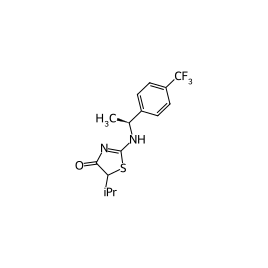 CC(C)C1SC(N[C@@H](C)c2ccc(C(F)(F)F)cc2)=NC1=O